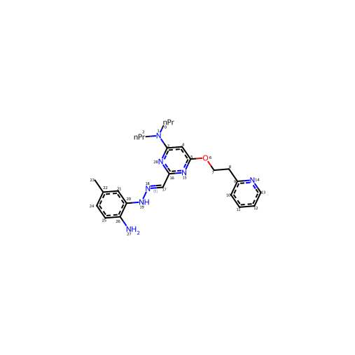 CCCN(CCC)c1cc(OCCc2ccccn2)nc(/C=N/Nc2cc(C)ccc2N)n1